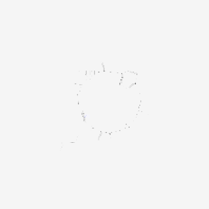 C=C1C(C)CN(C)CC(C)COc2ccc(cc2)C(=O)N[S+]([O-])C(C)CC/C=C/C1OCCOC